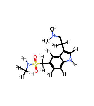 [2H]c1c(C([2H])([2H])S(=O)(=O)N([2H])C([2H])([2H])[2H])c([2H])c2c(C([2H])([2H])CN(C)C)c([2H])n([2H])c2c1[2H]